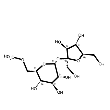 O=C(O)OC[C@H]1O[C@H](O[C@]2(CO)O[C@H](CO)[C@@H](O)[C@@H]2O)[C@H](O)[C@@H](O)[C@@H]1O